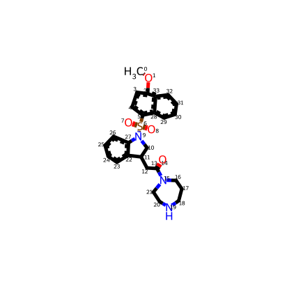 COc1ccc(S(=O)(=O)N2CC(CC(=O)N3CCCNCC3)c3ccccc32)c2ccccc12